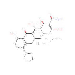 CN(C)[C@H]1C(O)=C(C(N)=O)C(=O)[C@]2(O)C(O)=C3C(=O)c4c(O)ccc(C5CCCC5)c4C[C@@H]3C[C@H]12